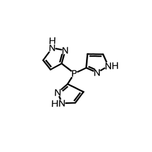 c1cc(P(c2cc[nH]n2)c2cc[nH]n2)n[nH]1